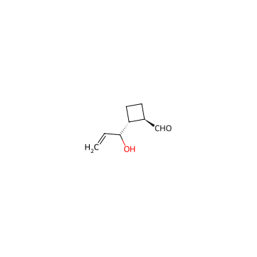 C=CC(O)[C@@H]1CC[C@H]1C=O